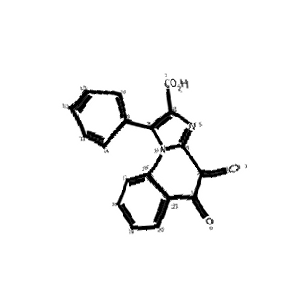 O=C1C(=O)c2nc(C(=O)O)c(-c3ccccc3)n2-c2ccccc21